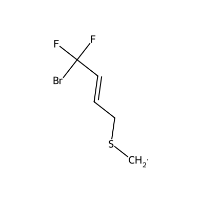 [CH2]SCC=CC(F)(F)Br